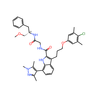 COC[C@H](Cc1ccccc1)NC(=O)CNC(=O)c1[nH]c2c(-c3c(C)nn(C)c3C)cccc2c1CCCOc1cc(C)c(Cl)c(C)c1